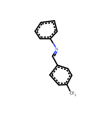 FC(F)(F)c1ccc(C=Nc2ccccc2)cc1